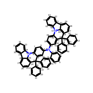 c1ccc(N(c2ccc3c(c2)C(c2ccccc2)(c2ccccc2)c2cccc4c5ccccc5n-3c24)c2ccc3c(c2)C(c2ccccc2)(c2ccccc2)c2cccc4c5ccccc5n-3c24)cc1